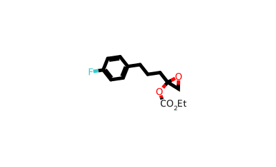 CCOC(=O)OC1(CCCc2ccc(F)cc2)CO1